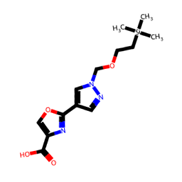 C[Si](C)(C)CCOCn1cc(-c2nc(C(=O)O)co2)cn1